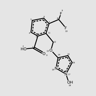 O=C(O)c1cccc(C(F)F)c1COc1ccn(O)n1